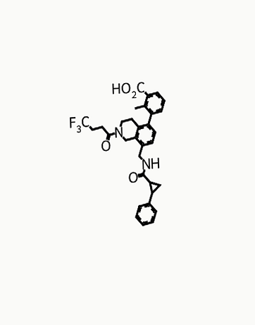 Cc1c(C(=O)O)cccc1-c1ccc(CNC(=O)C2CC2c2ccccc2)c2c1CCN(C(=O)CCC(F)(F)F)C2